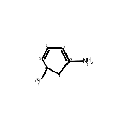 CC(C)C1C=CC=C(N)C1